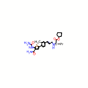 Cc1cc(/C=C/CN[C@@H](CC(C)C)C(=O)OC2CCCC2)ccc1-c1cc(C(N)=O)c(NC(N)=O)s1